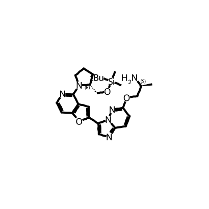 C[C@H](N)COc1ccc2ncc(-c3cc4c(N5CCC[C@@H]5CO[Si](C)(C)C(C)(C)C)nccc4o3)n2n1